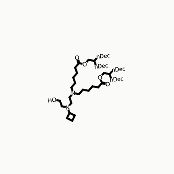 CCCCCCCCCCC(CCCCCCCCCC)COC(=O)CCCCCN(CCCCCC(=O)OCC(CCCCCCCCCC)CCCCCCCCCC)CCN(CCO)C1CCC1